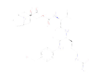 COC(=O)C1CC2CCC(C1)N2C(=O)CCC(=O)N[C@H](C(=O)N[C@@H](CCCNC(N)=O)C(=O)Nc1ccc(CO)cc1)C(C)C